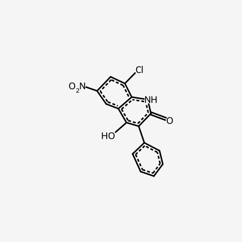 O=c1[nH]c2c(Cl)cc([N+](=O)[O-])cc2c(O)c1-c1ccccc1